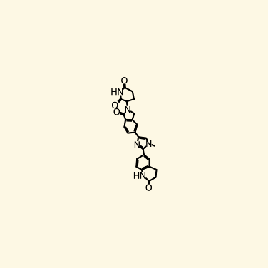 Cn1cc(-c2ccc3c(c2)CN(C2CCC(=O)NC2=O)C3=O)nc1-c1ccc2c(c1)CCC(=O)N2